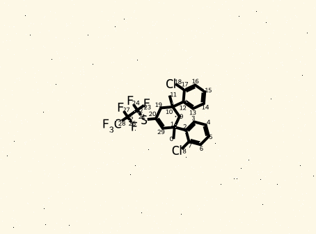 CC1(c2ccccc2Cl)[CH]C(C)(c2ccccc2Cl)CC(SC(F)(F)C(F)(F)C(F)(F)F)=C1